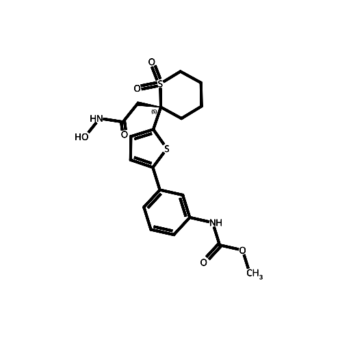 COC(=O)Nc1cccc(-c2ccc([C@@]3(CC(=O)NO)CCCCS3(=O)=O)s2)c1